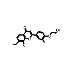 Cc1cc(-c2cc(=O)c3ccc(CF)c(Cl)c3o2)ccc1OCCO